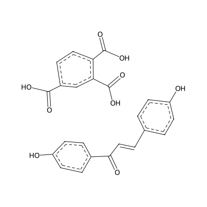 O=C(C=Cc1ccc(O)cc1)c1ccc(O)cc1.O=C(O)c1ccc(C(=O)O)c(C(=O)O)c1